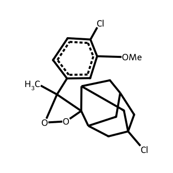 COc1cc(C2(C)OOC23C2CC4CC3CC(Cl)(C4)C2)ccc1Cl